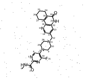 CNC(=O)c1ncc(N2CCN(Cc3cnc4c5c(c(=O)[nH]c4c3)CCCC5)CC2)c(F)n1